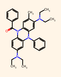 CCN(CC)c1ccc2c(c1)N(c1ccccc1)c1cc(N(CC)CC)c(C)cc1N2C(=O)c1ccccc1